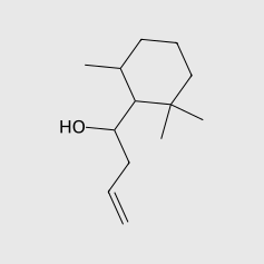 C=CCC(O)C1C(C)CCCC1(C)C